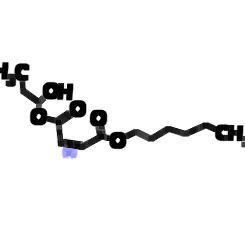 CCCCCCOC(=O)/C=C\C(=O)OC(O)CC